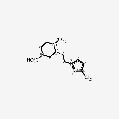 O=C(O)N1CCN(C(=O)O)[C@H](CCn2ccc(C(F)(F)F)n2)C1